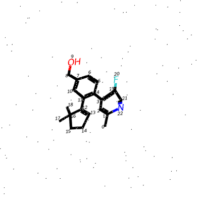 Cc1cc(-c2ccc(CO)cc2C2=CCCC2(C)C)c(F)cn1